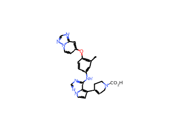 Cc1cc(Nc2ncnn3ccc(C4=CCN(C(=O)O)CC4)c23)ccc1Oc1ccn2ncnc2c1